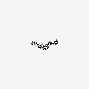 CN1CCN(C[C@@H](O)Cn2ncc3c2CCc2c-3sc3ncnc(Nc4ccc(OCc5cccc(F)c5)c(Cl)c4)c23)CC1